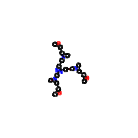 c1ccc2c(c1)oc1ccc(-c3ccc4c(c3)c3ccccc3n4-c3ccc(-c4ccc(-c5nc(-c6ccc(-n7c8ccccc8c8cc(-c9ccc%10oc%11ccccc%11c%10c9)ccc87)cc6)nc6ccc(-c7ccc(-n8c9ccccc9c9cc(-c%10ccc%11oc%12ccccc%12c%11c%10)ccc98)cc7)cc56)cc4)cc3)cc12